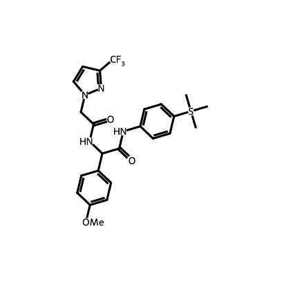 COc1ccc(C(NC(=O)Cn2ccc(C(F)(F)F)n2)C(=O)Nc2ccc(S(C)(C)C)cc2)cc1